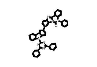 O=c1n(-c2ccccc2)c2ccccc2c2nc3ccc(-c4ccc5c(c4)c4ccccc4n5-c4nc(-c5ccccc5)nc(-c5ccccc5)n4)cc3n12